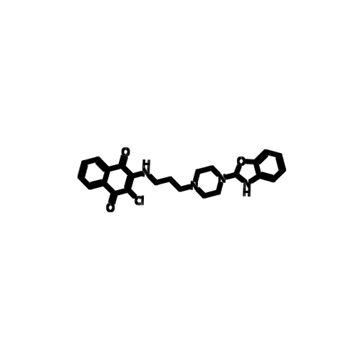 O=C1C(Cl)=C(NCCCN2CCN(C3Nc4ccccc4O3)CC2)C(=O)c2ccccc21